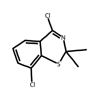 CC1(C)N=C(Cl)c2cccc(Cl)c2S1